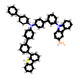 Pc1ccc2c(c1)c1ccccc1n2-c1cccc(-c2ccc(N(C3=CC=C(c4ccccc4)CC3)c3ccc(-c4cccc(-c5cccc6c5sc5ccccc56)c4)cc3)cc2)c1